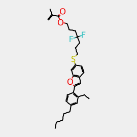 C=C(C)C(=O)OCCCC(F)(F)CCCSc1ccc2cc(-c3ccc(CCCCC)cc3CC)oc2c1